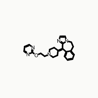 c1cnc(OCCN2CCC(=C3c4ccccc4CCn4ccnc43)CC2)nc1